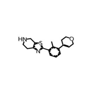 Cc1c(C2=CCOCC2)cccc1-c1nc2c(s1)CNCC2